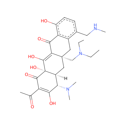 CCN(CC)C[C@@]12Cc3c(CNC)ccc(O)c3C(=O)C1=C(O)[C@]1(O)C(=O)C(C(C)=O)=C(O)[C@@H](N(C)C)[C@@H]1C2